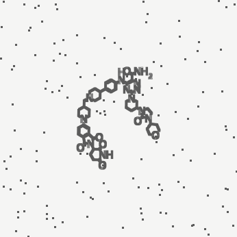 NC(=O)c1nnc(N2CCCC(N3CCN(C4CCOCC4)C3=O)C2)nc1Nc1ccc(C2CCN(CC3CCN(c4ccc5c(c4)C(=O)N(C4CCC(=O)NC4=O)C5=O)CC3)CC2)cc1